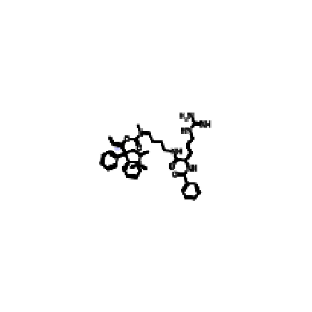 C/C=C(\OC(=O)N(C)CCCCNC(=O)C(CCCNC(=N)N)NC(=O)c1ccccc1)C(CC(C)N(C)C)(c1ccccc1)c1ccccc1